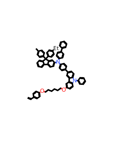 C=Cc1ccc(OCCCCCCOc2ccc3c(c2)c2cc(-c4ccc(N(c5ccc(-c6ccccc6)cc5)c5ccc6c(c5)C(c5ccc(C)cc5)(c5ccc(CC)cc5)c5ccccc5-6)cc4)ccc2n3-c2ccccc2)cc1